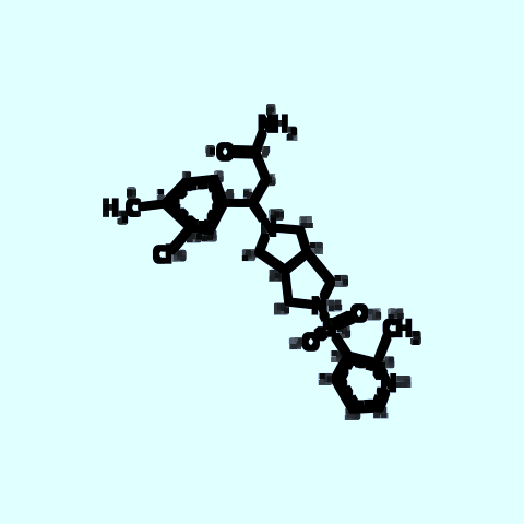 Cc1ccc(C(CC(N)=O)N2CC3CN(S(=O)(=O)c4cccnc4C)CC3C2)cc1Cl